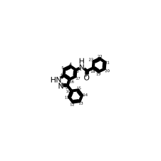 O=C(Nc1ccc2[nH]nc(-c3ccccc3)c2c1)c1ccccc1